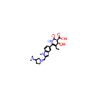 CCc1c(-c2ccc3c(c2)cc(CN2CCC(N(C)C)C2)n3C)[nH]c(=O)c(C(=O)O)c1O